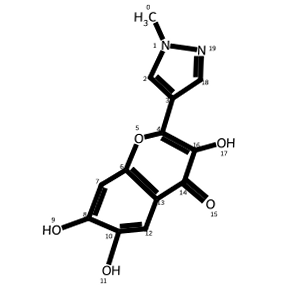 Cn1cc(-c2oc3cc(O)c(O)cc3c(=O)c2O)cn1